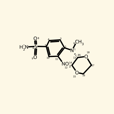 CN(c1ccc(S(N)(=O)=O)cc1[N+](=O)[O-])[C@H]1COCCO1